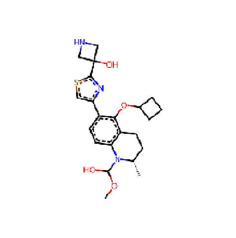 COC(O)N1c2ccc(-c3csc(C4(O)CNC4)n3)c(OC3CCC3)c2CC[C@@H]1C